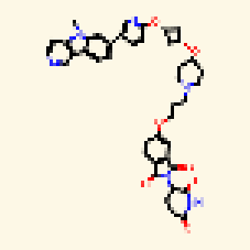 Cn1c2ccncc2c2ccc(-c3ccc(O[C@H]4C[C@H](OC5CCN(CCCOc6ccc7c(c6)C(=O)N(C6CCC(=O)NC6=O)C7=O)CC5)C4)nc3)cc21